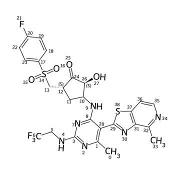 Cc1nc(NCC(F)(F)F)nc(NC2C[C@H](CS(=O)(=O)c3ccc(F)cc3)C(=O)[C@H]2O)c1-c1nc2c(C)nccc2s1